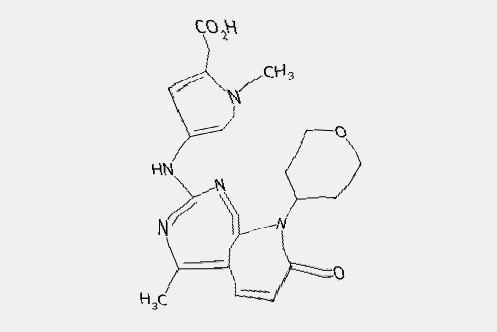 Cc1nc(Nc2cc(C(=O)O)n(C)c2)nc2c1ccc(=O)n2C1CCOCC1